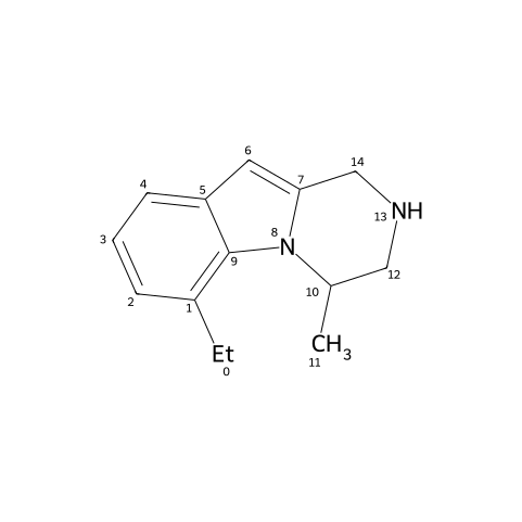 CCc1cccc2cc3n(c12)C(C)CNC3